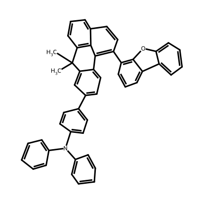 CC1(C)c2cc(-c3ccc(N(c4ccccc4)c4ccccc4)cc3)ccc2-c2c(-c3cccc4c3oc3ccccc34)ccc3cccc1c23